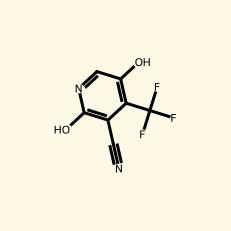 N#Cc1c(O)ncc(O)c1C(F)(F)F